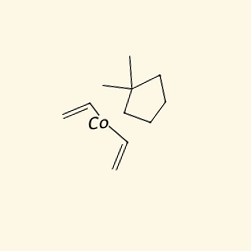 C=[CH][Co][CH]=C.CC1(C)CCCC1